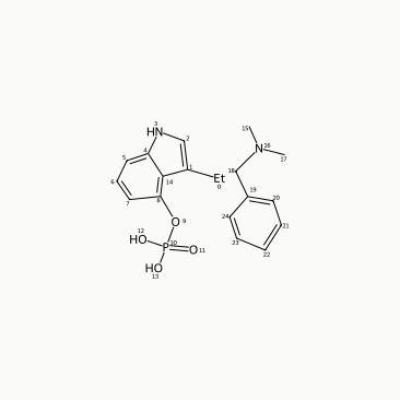 CCc1c[nH]c2cccc(OP(=O)(O)O)c12.CN(C)Cc1ccccc1